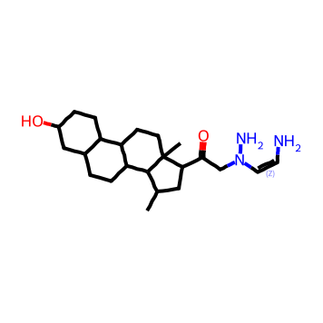 CC1CC(C(=O)CN(N)/C=C\N)C2(C)CCC3C4CCC(O)CC4CCC3C12